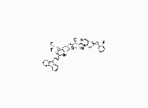 Cc1cc(Oc2ccccc2F)ccc1-n1ncc(C(=O)c2cc3cc(OCC(F)F)c(NC(=O)OCC4c5ccccc5-c5ccccc54)cc3[nH]2)c1N